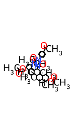 CC(=O)OC[C@]12CCC3(C(C)C)C1=C1C(CC4[C@@]5(C)CC[C@H](OC(C)=O)[C@H](C)[C@@H]5CC[C@@]4(C)[C@]1(C)CC2)n1c(=O)n(-c2ccc(C(C)=O)cc2)c(=O)n13